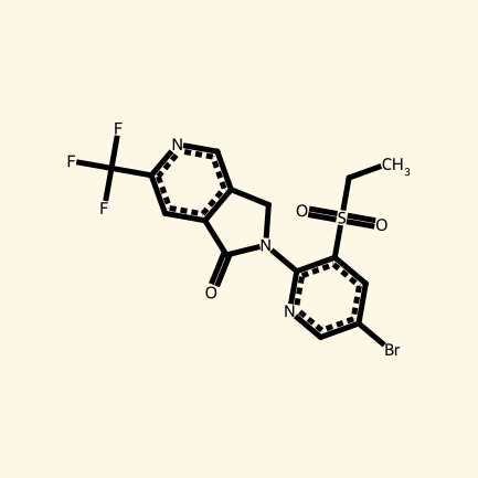 CCS(=O)(=O)c1cc(Br)cnc1N1Cc2cnc(C(F)(F)F)cc2C1=O